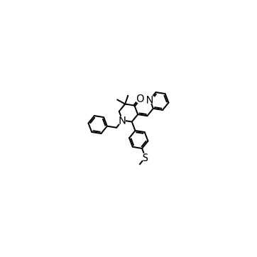 CSc1ccc(C2C(=Cc3ccccn3)C(=O)C(C)(C)CN2Cc2ccccc2)cc1